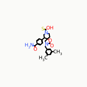 Cc1cc(C)cc(CN2CC3(CCN(C(O)=S)CC3c3ccc(C(N)=O)cc3)OC2=O)c1